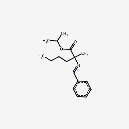 CCCCC(C)(/N=C/c1ccccc1)C(=O)OC(C)C